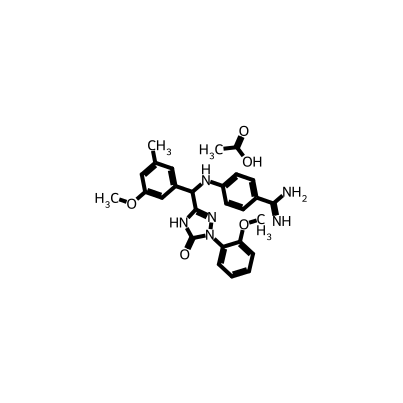 CC(=O)O.COc1cc(C)cc(C(Nc2ccc(C(=N)N)cc2)c2nn(-c3ccccc3OC)c(=O)[nH]2)c1